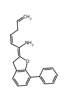 C=CC/C=C\C(N)=C1/Cc2cccc(-c3ccccc3)c2O1